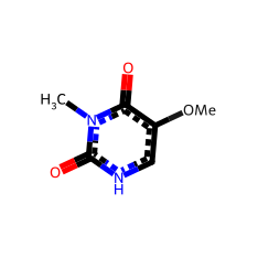 COc1c[nH]c(=O)n(C)c1=O